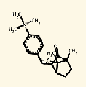 CC12CCC(C(Cc3ccc([N+](C)(C)C)cc3)C1=O)C2(C)C